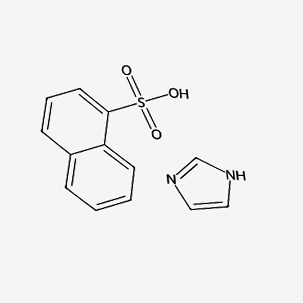 O=S(=O)(O)c1cccc2ccccc12.c1c[nH]cn1